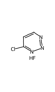 Clc1ccnnn1.F